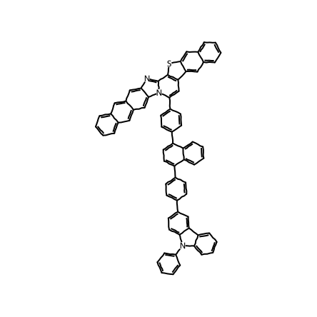 c1ccc(-n2c3ccccc3c3cc(-c4ccc(-c5ccc(-c6ccc(-c7cc8c9cc%10ccccc%10cc9sc8c8nc9cc%10cc%11ccccc%11cc%10cc9n78)cc6)c6ccccc56)cc4)ccc32)cc1